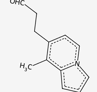 Cc1c(CCC=O)ccn2cccc12